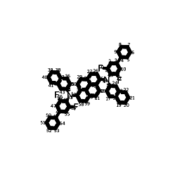 Fc1cc(-c2ccccc2)cc(F)c1N(c1ccc2ccccc2c1)c1ccc2ccc3c(N(c4ccc5ccccc5c4)c4c(F)cc(-c5ccccc5)cc4F)ccc4ccc1c2c43